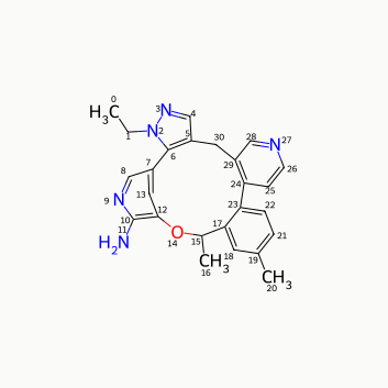 CCn1ncc2c1-c1cnc(N)c(c1)OC(C)c1cc(C)ccc1-c1ccncc1C2